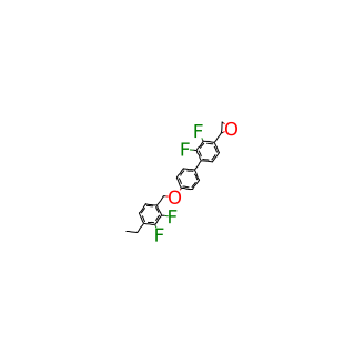 CCc1ccc(COc2ccc(-c3ccc(C4CO4)c(F)c3F)cc2)c(F)c1F